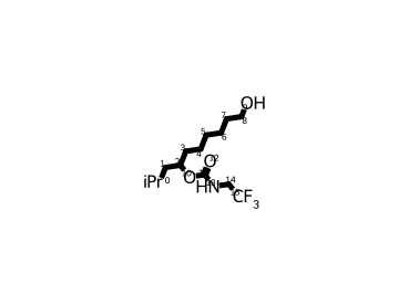 CC(C)CC(CCCCCCO)OC(=O)NCC(F)(F)F